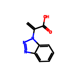 C=C(C(=O)O)n1nnc2ccccc21